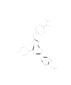 Nc1ncc(-c2nc(N3CCOCC3)c3sc(CN4CCN(C(O)C=O)CC4)cc3n2)cn1